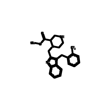 CC(C)(C)OC(=O)C1CNCCN1Cc1nc2ccccc2n1Cc1ccccc1C(F)(F)F